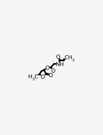 C=CC(=O)NCC(=O)OC1CC(C)OC1=O